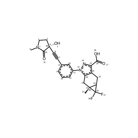 CN1CC[C@@](O)(C#Cc2cccc(-n3nc(C(=O)O)c4c3C[C@]3(C)C(C4)C3(F)F)c2)C1=O